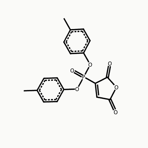 Cc1ccc(OP(=O)(Oc2ccc(C)cc2)C2=CC(=O)OC2=O)cc1